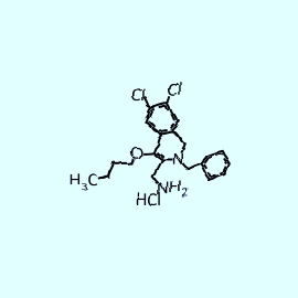 CCCCOC1=C(CN)N(Cc2ccccc2)Cc2cc(Cl)c(Cl)cc21.Cl